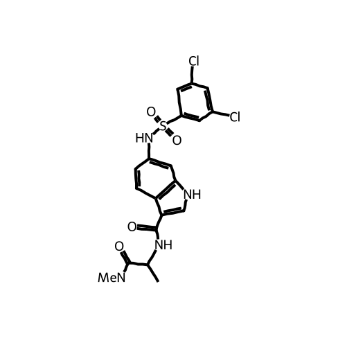 CNC(=O)C(C)NC(=O)c1c[nH]c2cc(NS(=O)(=O)c3cc(Cl)cc(Cl)c3)ccc12